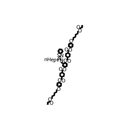 C=CC(=O)OCCCCCCOc1ccc(OC(=O)C2CCC(C(=O)Oc3ccc(OC(=O)C4CCC(C(=O)Oc5ccc(OCCCCCCOC(=O)C=C)cc5)CC4)c(/C=N/N(CCCCCCC)c4nc5ccccc5s4)c3)CC2)cc1